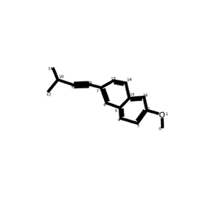 COc1ccc2cc(C#CC(C)C)ccc2c1